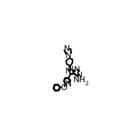 CN1CCN(C2CCC(n3nc(-c4ccc(Oc5ccccc5)nc4)c4c(N)ncnc43)CC2)CC1